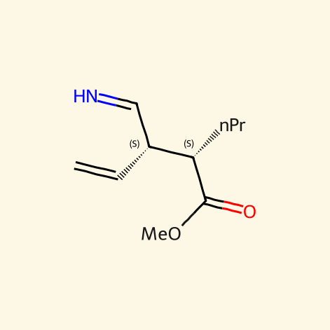 C=C[C@H](C=N)[C@H](CCC)C(=O)OC